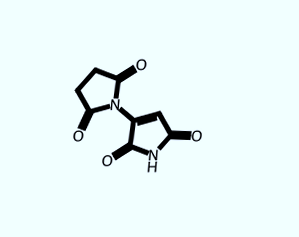 O=C1C=C(N2C(=O)CCC2=O)C(=O)N1